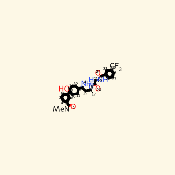 CNC(=O)c1cccc(C2(O)CCC(C(=N)C[C@@H](C)NC(=O)CNC(=O)c3cccc(C(F)(F)F)c3)CC2)c1